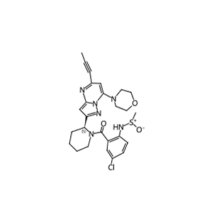 CC#Cc1cc(N2CCOCC2)n2nc([C@@H]3CCCCN3C(=O)c3cc(Cl)ccc3N[S+](C)[O-])cc2n1